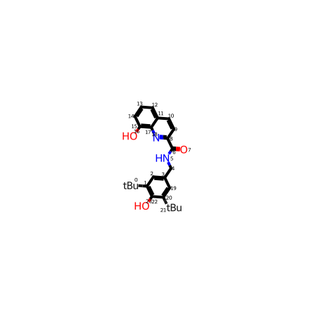 CC(C)(C)c1cc(CNC(=O)c2ccc3cccc(O)c3n2)cc(C(C)(C)C)c1O